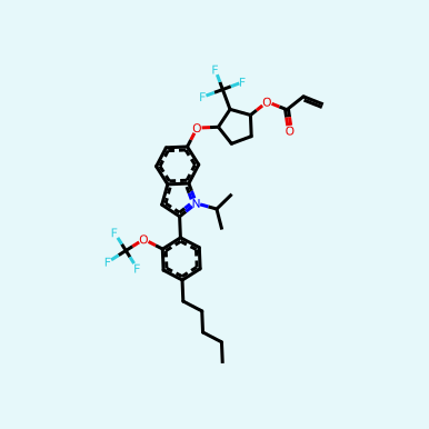 C=CC(=O)OC1CCC(Oc2ccc3cc(-c4ccc(CCCCC)cc4OC(F)(F)F)n(C(C)C)c3c2)C1C(F)(F)F